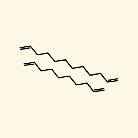 C=CCCCCCCC=C.C=CCCCCCCCCC=C